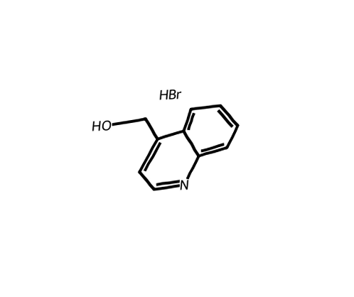 Br.OCc1ccnc2ccccc12